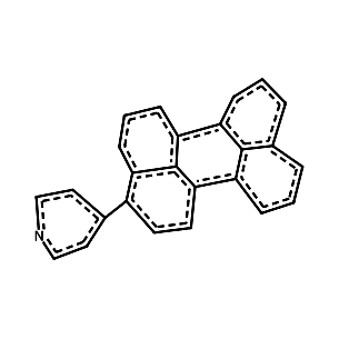 c1cc2cccc3c4ccc(-c5ccncc5)c5cccc(c(c1)c23)c54